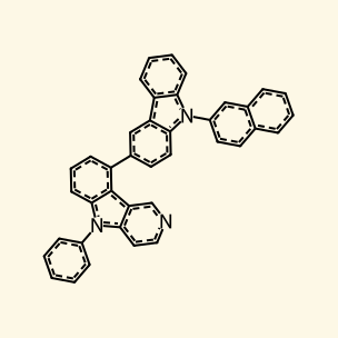 c1ccc(-n2c3ccncc3c3c(-c4ccc5c(c4)c4ccccc4n5-c4ccc5ccccc5c4)cccc32)cc1